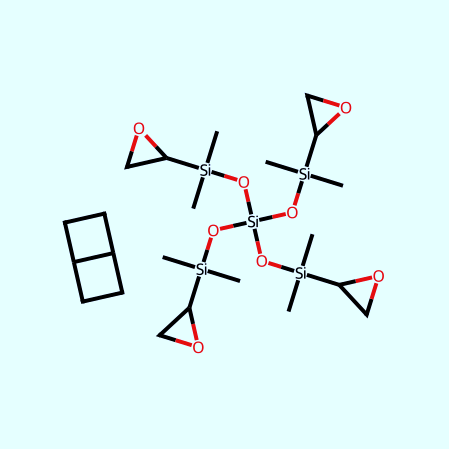 C1CC2CCC12.C[Si](C)(O[Si](O[Si](C)(C)C1CO1)(O[Si](C)(C)C1CO1)O[Si](C)(C)C1CO1)C1CO1